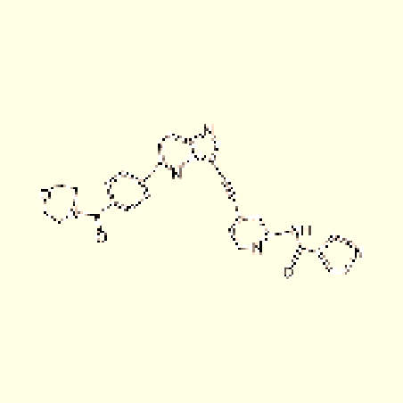 O=C(Nc1cc(C#Cc2cnc3ccc(-c4ccc(C(=O)N5CCOCC5)cc4)nn23)ccn1)c1ccncc1